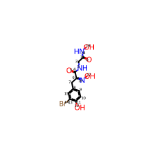 O=C(CNC(=O)C(Cc1ccc(O)c(Br)c1)=NO)NO